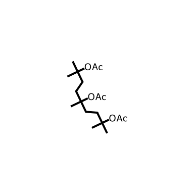 CC(=O)OC(C)(C)CCC(C)(CCC(C)(C)OC(C)=O)OC(C)=O